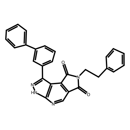 O=C1c2cnc3[nH]nc(-c4cccc(-c5ccccc5)c4)c3c2C(=O)N1CCc1ccccc1